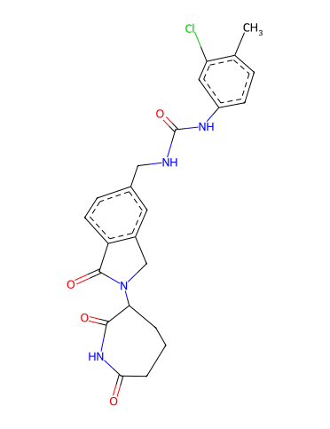 Cc1ccc(NC(=O)NCc2ccc3c(c2)CN(C2CCCC(=O)NC2=O)C3=O)cc1Cl